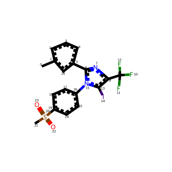 Cc1cccc(-c2nc(C(F)(F)F)c(I)n2-c2ccc(S(C)(=O)=O)cc2)c1